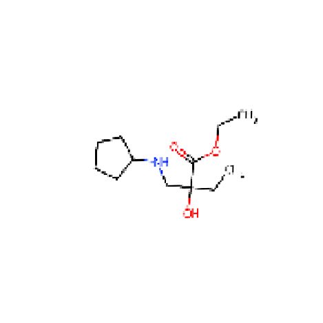 CCOC(=O)C(O)(CC)CNC1CCCC1